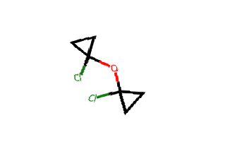 ClC1(OC2(Cl)CC2)CC1